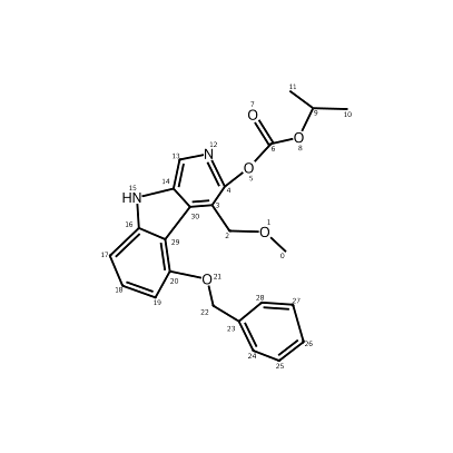 COCc1c(OC(=O)OC(C)C)ncc2[nH]c3cccc(OCc4ccccc4)c3c12